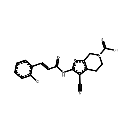 N#Cc1c(NC(=O)C=Cc2ccccc2Cl)sc2c1CCN(C(O)=S)C2